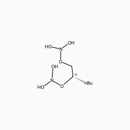 CCCC[C@@H](CON(O)O)ON(O)O